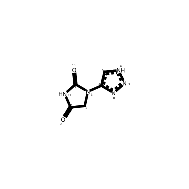 O=C1CN(c2c[nH]nn2)C(=O)N1